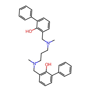 CN(CCCN(C)Cc1cccc(-c2ccccc2)c1O)Cc1cccc(-c2ccccc2)c1O